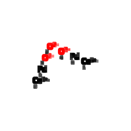 [Ce+3].[Ce+3].[O-2].[O-2].[O-2].[Pd].[Pd]